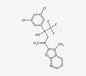 C=C(CC(O)(c1cc(Cl)cc(Cl)c1)C(F)(F)F)c1sc2ncccc2c1C